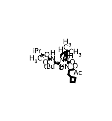 CC(=O)C(=O)C(CC1CCC1)NC(=O)[C@@H]1[C@@H]2[C@H](CN1C(=O)[C@@H](NC(=O)O[C@H](C)C(C)C)C(C)(C)C)C2(C)C